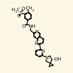 Cc1ccc(C(=O)NCc2cc3nc(-c4cccc(N5C[C@H](O)C6(CC6)C5)n4)ccc3cn2)cc1S(C)(=O)=O